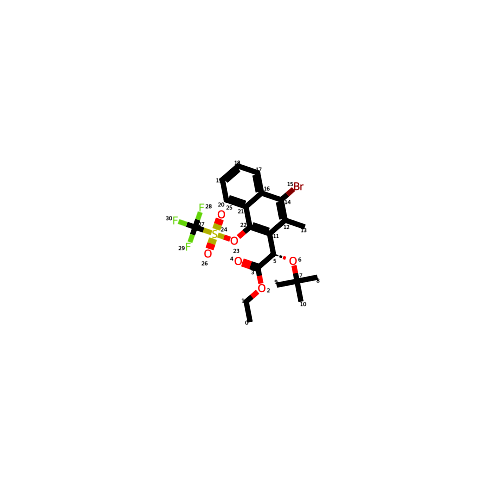 CCOC(=O)[C@@H](OC(C)(C)C)c1c(C)c(Br)c2ccccc2c1OS(=O)(=O)C(F)(F)F